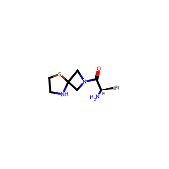 CC(C)[C@@H](N)C(=O)N1CC2(C1)NCCS2